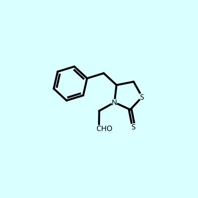 O=CCN1C(=S)SCC1Cc1ccccc1